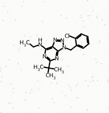 CCNc1nc(C(C)(C)C)nc2c1nnn2Cc1ccccc1Cl